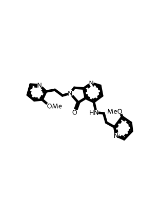 COc1cccnc1CCNc1ccnc2c1C(=O)N(CCc1ncccc1OC)C2